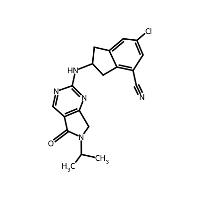 CC(C)N1Cc2nc(NC3Cc4cc(Cl)cc(C#N)c4C3)ncc2C1=O